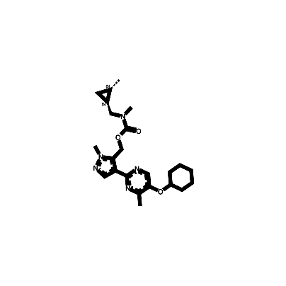 Cc1nc(-c2cnn(C)c2COC(=O)N(C)C[C@H]2C[C@@H]2C)ncc1OC1CCCCC1